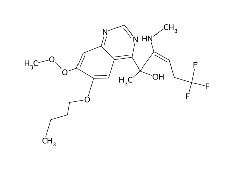 CCCCOc1cc2c(C(C)(O)/C(=C\CC(F)(F)F)NC)ncnc2cc1OOC